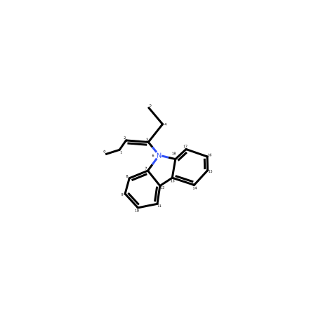 CC/C=C(/CC)n1c2ccccc2c2ccccc21